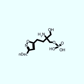 CCCCCCCCCCc1cc(CCC(N)(CO)COP(=O)(O)O)on1